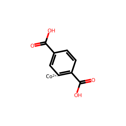 O=C(O)c1ccc(C(=O)O)cc1.[Co+2]